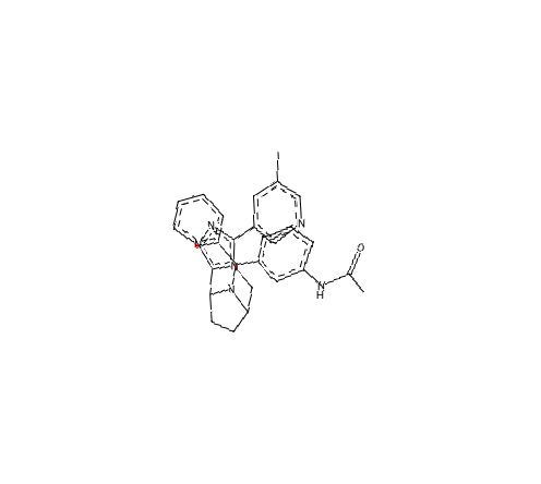 CC(=O)Nc1cccc(C(c2ccccc2)N2C3CCC2c2nnc(-c4cncc(C)c4)n2C3)c1